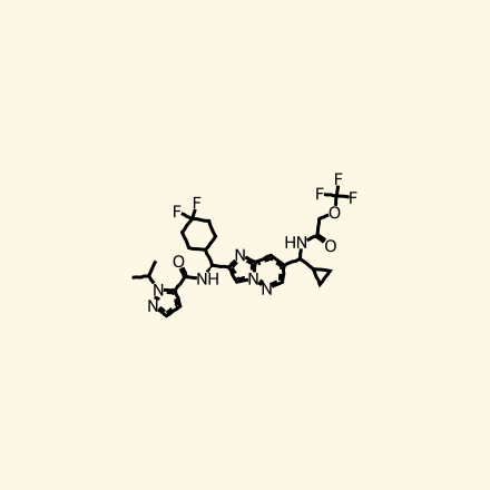 CC(C)n1nccc1C(=O)N[C@H](c1cn2ncc(C(NC(=O)COC(F)(F)F)C3CC3)cc2n1)C1CCC(F)(F)CC1